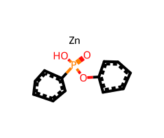 O=P(O)(Oc1ccccc1)c1ccccc1.[Zn]